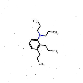 CCCc1cccc(N(CCC)CCC)c1CCC